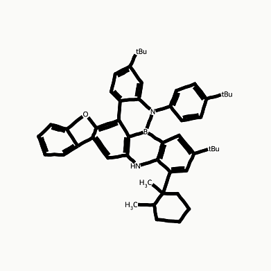 CC1CCCCC1(C)c1cc(C(C)(C)C)cc2c1Nc1cc3c(oc4ccccc43)c3c1B2N(c1ccc(C(C)(C)C)cc1)c1cc(C(C)(C)C)ccc1-3